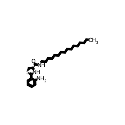 CCCCCCCCCCCCCCCCNC(=O)[C@@H]1CSC(c2ccccc2N)N1